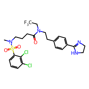 CN(CCCC(=O)N(CCc1ccc(C2=NCCN2)cc1)CC(F)(F)F)S(=O)(=O)c1cccc(Cl)c1Cl